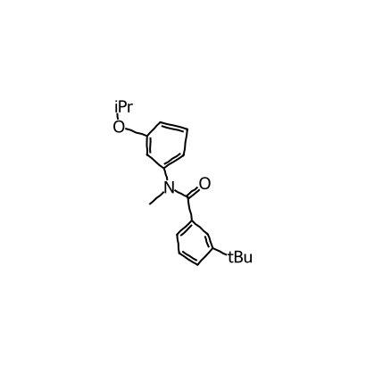 CC(C)Oc1cccc(N(C)C(=O)c2cccc(C(C)(C)C)c2)c1